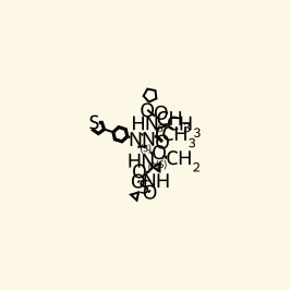 C=C[C@@H]1C[C@]1(NC(=O)[C@@H]1CN(c2ccc(-c3ccsc3)cc2)CN1C(=O)[C@@H](NC(=O)OC1CCCC1)C(C)(C)C)C(=O)NS(=O)(=O)C1CC1